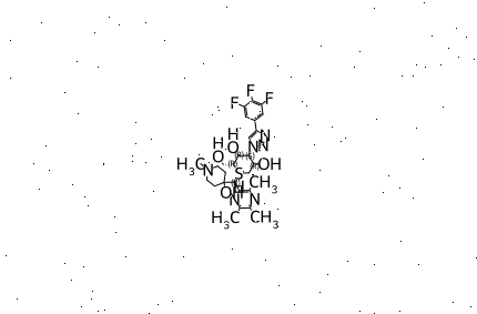 Cc1nc(C)c([C@@H]([SH]2C[C@H](O)[C@H](n3cc(-c4cc(F)c(F)c(F)c4)nn3)[C@@H](O)[C@H]2CO)C2(O)CCN(C)CC2)nc1C